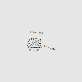 N#CS.N#CS.[CH]12[CH]3[CH]4[CH]5[CH]1[V]23451678[CH]2[CH]1[CH]6[CH]7[CH]28